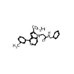 Cc1cccc(-c2nccc3c2cc(C(=O)O)n3CC(=O)NCc2ccccc2)c1